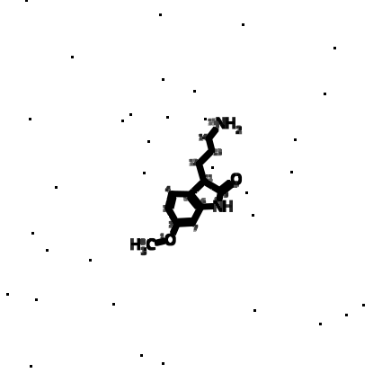 COc1ccc2c(c1)NC(=O)C2CCCN